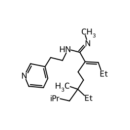 CC/C=C(CCC(C)(CC)CC(C)C)/C(=N/C)NCCc1cccnc1